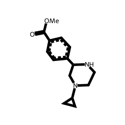 COC(=O)c1ccc(C2CN(C3CC3)CCN2)cc1